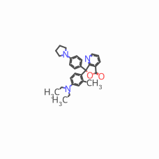 CCN(CC)c1ccc(C2(c3ccc(N4CCCC4)cc3)OC(=O)c3cccnc32)c(C)c1